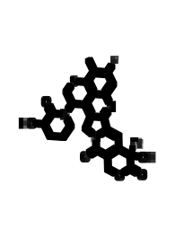 CC[C@@]1(O)C(=O)OCc2c1cc1n(c2=O)Cc2c-1nc1cc(F)c(C)c3c1c2C(N1CCCC(O)C1=O)CS3